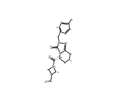 Cc1ccc(Cn2nc3n(c2=O)[C@@H](C(=O)N2CC(CF)C2)CCC3)cc1